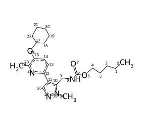 CCCCCOC(=O)NCc1c(-c2ccc(OC3CCCCC3)c(C)n2)cnn1C